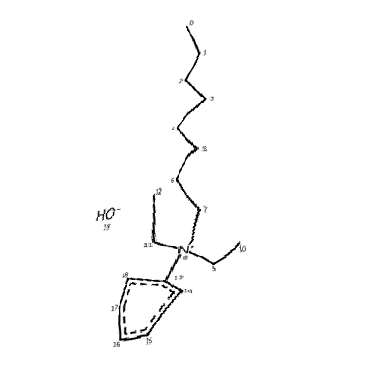 CCCCCCCC[N+](CC)(CC)c1ccccc1.[OH-]